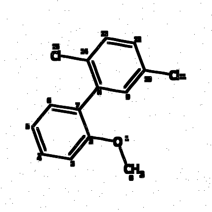 COc1c[c]ccc1-c1cc(Cl)ccc1Cl